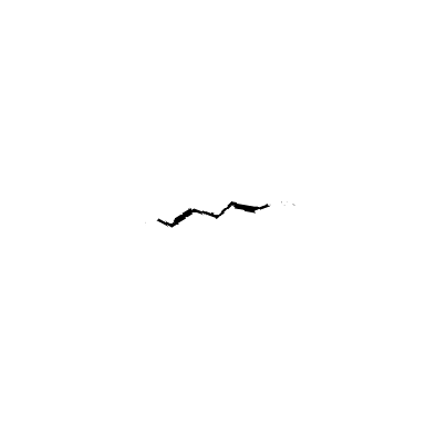 CC=CCC=COC